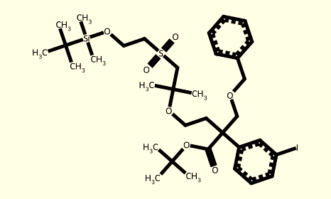 CC(C)(C)OC(=O)C(CCOC(C)(C)CS(=O)(=O)CCO[Si](C)(C)C(C)(C)C)(COCc1ccccc1)c1cccc(I)c1